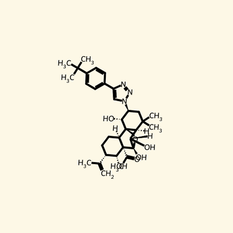 C=C(C)[C@@H]1CC[C@H]2[C@@]34CO[C@@](O)([C@@H](O)[C@@H]3C(C)(C)C[C@H](n3cc(-c5ccc(C(C)(C)C)cc5)nn3)[C@H]4O)[C@@]2(C(C)=O)[C@@H]1O